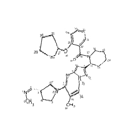 C/N=C\[C@H]1CCN(c2nc3cc([C@@H]4CCCCN4C(=O)c4ccccc4OC4CCCC4)nn3cc2C)C1